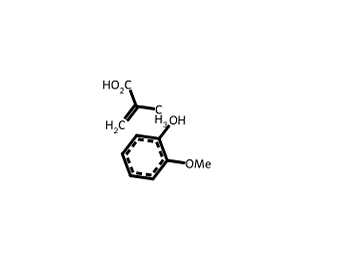 C=C(C)C(=O)O.COc1ccccc1O